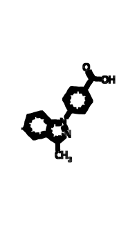 Cc1nn(-c2ccc(C(=O)O)cc2)c2cc[c]cc12